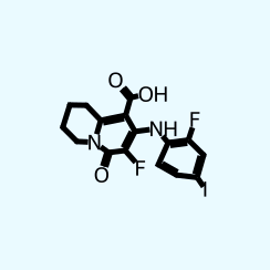 O=C(O)c1c(Nc2ccc(I)cc2F)c(F)c(=O)n2c1CCCC2